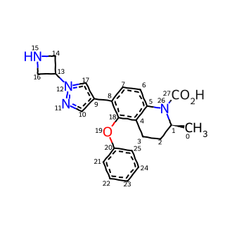 C[C@H]1CCc2c(ccc(-c3cnn(C4CNC4)c3)c2Oc2ccccc2)N1C(=O)O